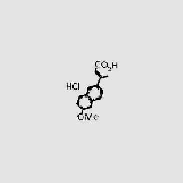 COc1ccc2cc(C(C)=CC(=O)O)ccc2c1.Cl